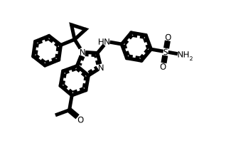 CC(=O)c1ccc2c(c1)nc(Nc1ccc(S(N)(=O)=O)cc1)n2C1(c2ccccc2)CC1